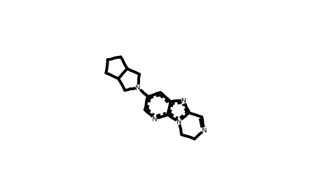 C1=NCCn2c1nc1cc(N3CC4CCCC4C3)cnc12